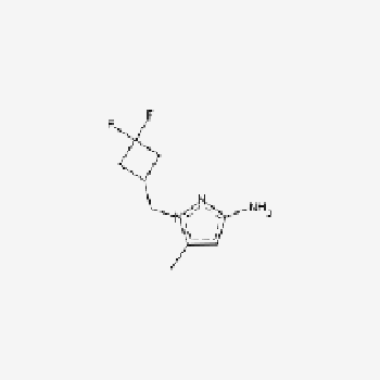 Cc1cc(N)nn1CC1CC(F)(F)C1